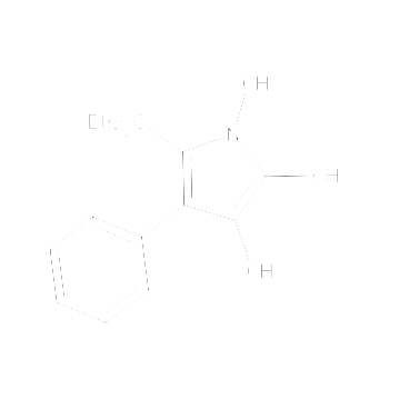 CCOC(=O)c1c(-c2ccccc2)c(C)c(C)n1C